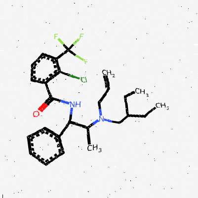 C=CCN(CC(CC)CC)C(C)C(NC(=O)c1cccc(C(F)(F)F)c1Cl)c1ccccc1